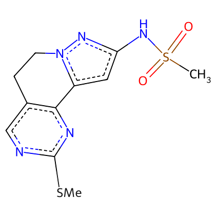 CSc1ncc2c(n1)-c1cc(NS(C)(=O)=O)nn1CC2